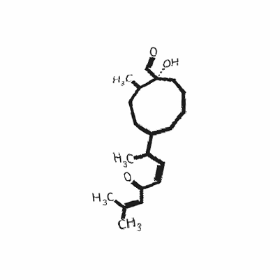 CC(C)=CC(=O)/C=C\C(C)C1CCCC[C@](O)(C=O)C(C)CC1